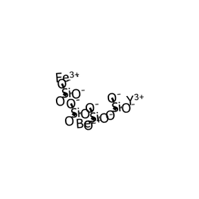 O=[Si]([O-])[O-].O=[Si]([O-])[O-].O=[Si]([O-])[O-].O=[Si]([O-])[O-].[Be+2].[Fe+3].[Y+3]